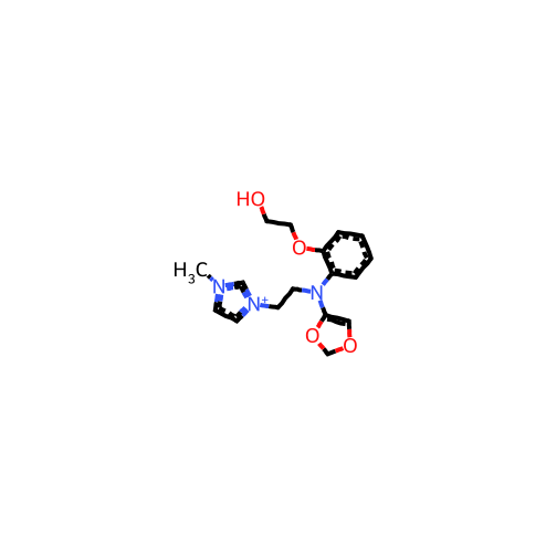 Cn1cc[n+](CCN(C2=COCO2)c2ccccc2OCCO)c1